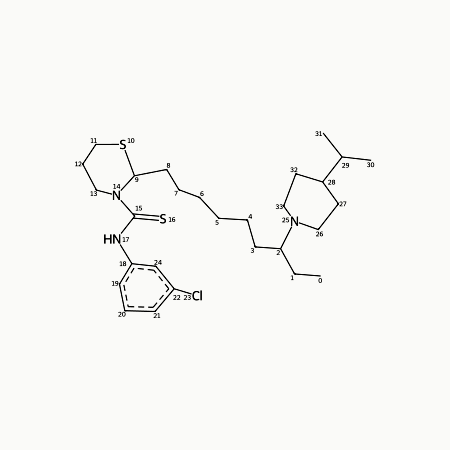 CCC(CCCCCCC1SCCCN1C(=S)Nc1cccc(Cl)c1)N1CCC(C(C)C)CC1